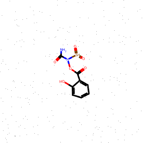 NC(=O)N(OC(=O)c1ccccc1O)[SH](=O)=O